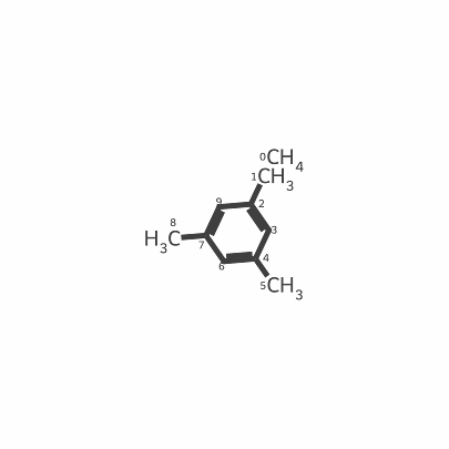 C.Cc1cc(C)cc(C)c1